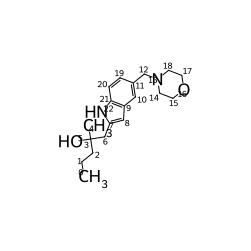 CCCC(C)(O)Cc1cc2cc(CN3CCOCC3)ccc2[nH]1